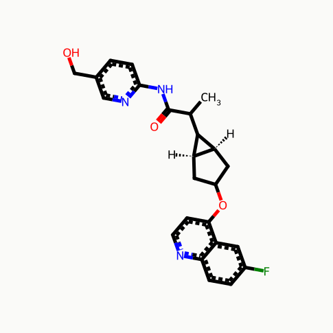 CC(C(=O)Nc1ccc(CO)cn1)C1[C@H]2CC(Oc3ccnc4ccc(F)cc34)C[C@@H]12